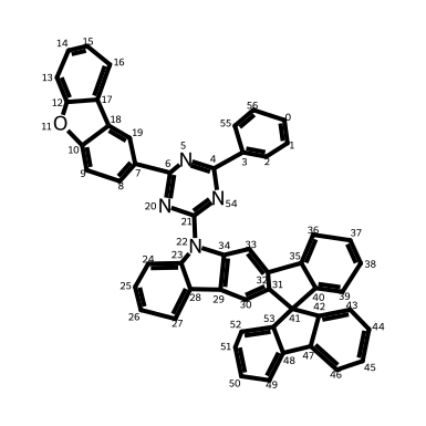 c1ccc(-c2nc(-c3ccc4oc5ccccc5c4c3)nc(-n3c4ccccc4c4cc5c(cc43)-c3ccccc3C53c4ccccc4-c4ccccc43)n2)cc1